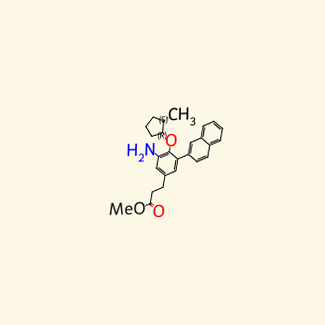 COC(=O)CCc1cc(N)c(O[C@@H]2CCC[C@@H]2C)c(-c2ccc3ccccc3c2)c1